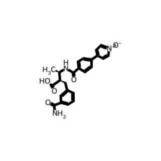 C[C@@H](NC(=O)c1ccc(-c2cc[n+]([O-])cc2)cc1)[C@@H](Cc1cccc(C(N)=O)c1)C(=O)O